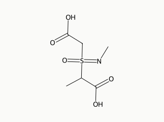 CN=S(=O)(CC(=O)O)C(C)C(=O)O